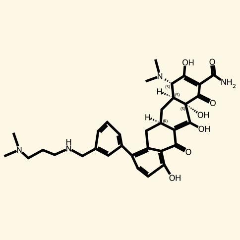 CN(C)CCCNCc1cccc(-c2ccc(O)c3c2C[C@H]2C[C@H]4[C@H](N(C)C)C(O)=C(C(N)=O)C(=O)[C@@]4(O)C(O)=C2C3=O)c1